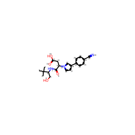 CC(C)(C)C(CO)NC(=O)C(CC(=O)O)n1ccc(-c2ccc(C#N)cc2)c1